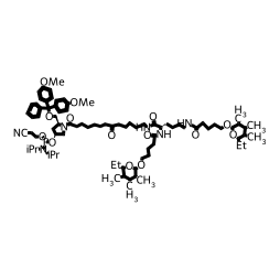 CCC1OC(OCCCCC(=O)NCCCC[C@H](NC(=O)CCCCOC2OC(CC)C(C)C(C)C2C)C(=O)NCCCCCC(=O)CCCCCCC(=O)N2C[C@H](OP(OCCC#N)N(C(C)C)C(C)C)C[C@H]2COC(c2ccccc2)(c2ccc(OC)cc2)c2ccc(OC)cc2)C(C)C(C)C1C